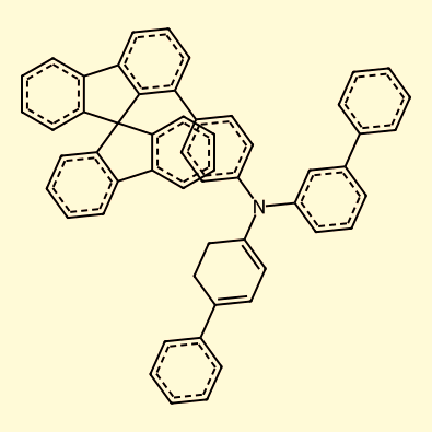 C1=C(c2ccccc2)CCC(N(c2ccc(-c3cccc4c3C3(c5ccccc5-c5ccccc53)c3ccccc3-4)cc2)c2cccc(-c3ccccc3)c2)=C1